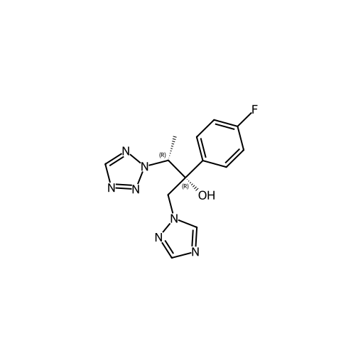 C[C@@H](n1ncnn1)[C@](O)(Cn1cncn1)c1ccc(F)cc1